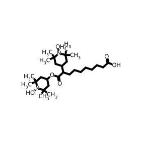 CC1(C)CC(OC(=O)C(CCCCCCCC(=O)O)C2CC(C)(C)N(O)C(C)(C)C2)CC(C)(C)N1O